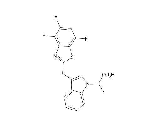 CC(C(=O)O)n1cc(Cc2nc3c(F)c(F)cc(F)c3s2)c2ccccc21